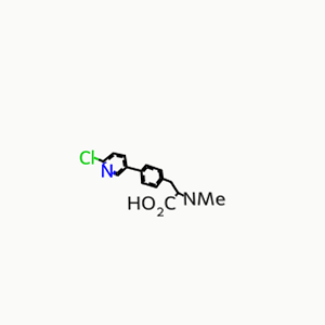 CNC(Cc1ccc(-c2ccc(Cl)nc2)cc1)C(=O)O